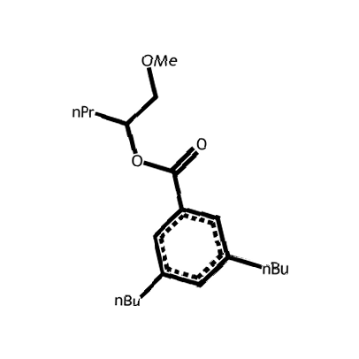 CCCCc1cc(CCCC)cc(C(=O)OC(CCC)COC)c1